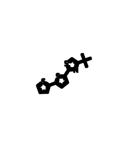 CC(C)(C)c1csc(-c2ccc(-c3cccs3)s2)n1